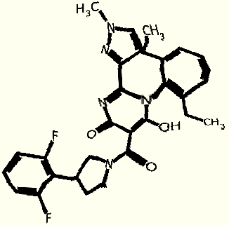 CCc1cccc(CC)c1-n1c(-c2ccn(C)n2)nc(=O)c(C(=O)N2CCC(c3c(F)cccc3F)C2)c1O